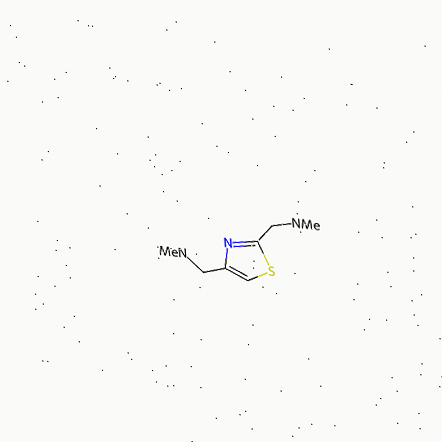 CNCc1csc(CNC)n1